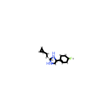 FC1CC=C(C2CN[C@H](CCC3CC3)N2)CC1